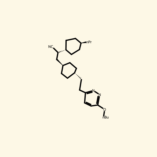 CCCCOc1ccc(CC[C@H]2CC[C@H](CC(C#N)[C@H]3CC[C@H](CCC)CC3)CC2)nn1